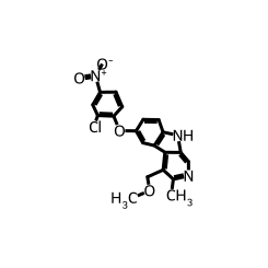 COCc1c(C)ncc2[nH]c3ccc(Oc4ccc([N+](=O)[O-])cc4Cl)cc3c12